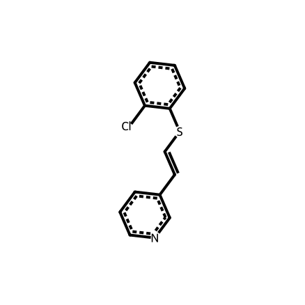 Clc1ccccc1S/C=C/c1cccnc1